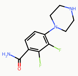 NC(=O)c1ccc(N2CCNCC2)c(F)c1F